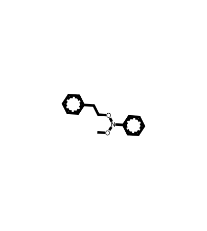 CON(OCCc1ccccc1)c1ccccc1